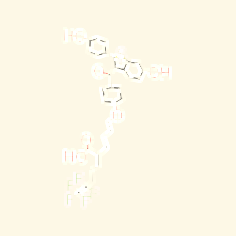 O=C(c1ccc(OCCCCC(CCCC(F)(F)C(F)(F)F)C(=O)O)cc1)c1c(-c2ccc(O)cc2)sc2cc(O)ccc12